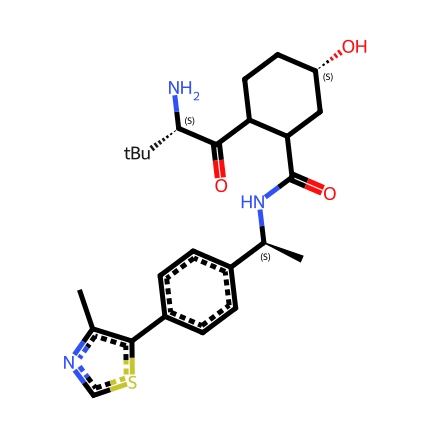 Cc1ncsc1-c1ccc([C@H](C)NC(=O)C2C[C@@H](O)CCC2C(=O)[C@@H](N)C(C)(C)C)cc1